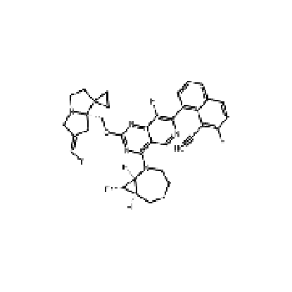 C#Cc1c(F)ccc2cccc(-c3ncc4c(N5CCCC[C@H]6[C@H](F)[C@H]65)nc(OC[C@]56C/C(=C\F)CN5CCC65CC5)nc4c3F)c12